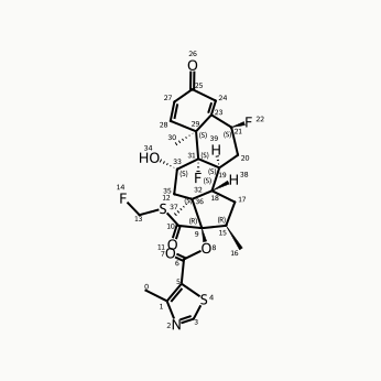 Cc1ncsc1C(=O)O[C@]1(C(=O)SCF)[C@H](C)C[C@H]2[C@@H]3C[C@H](F)C4=CC(=O)C=C[C@]4(C)[C@]3(F)[C@@H](O)C[C@@]21C